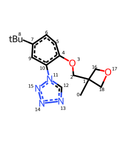 CC1(COc2ccc(C(C)(C)C)cc2-n2cnnn2)COC1